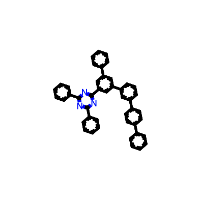 c1ccc(-c2ccc(-c3cccc(-c4cc(-c5ccccc5)cc(-c5nc(-c6ccccc6)nc(-c6ccccc6)n5)c4)c3)cc2)cc1